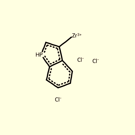 [Cl-].[Cl-].[Cl-].[Zr+3][c]1c[pH]c2ccccc12